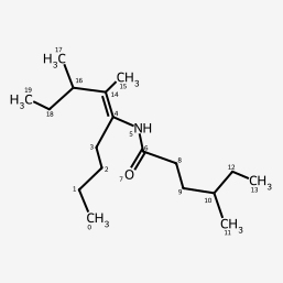 CCCC/C(NC(=O)CCC(C)CC)=C(/C)C(C)CC